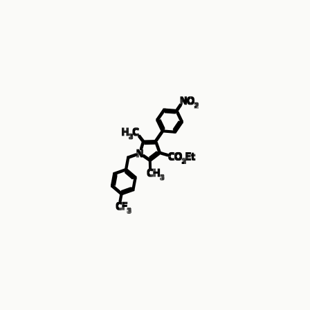 CCOC(=O)c1c(-c2ccc([N+](=O)[O-])cc2)c(C)n(Cc2ccc(C(F)(F)F)cc2)c1C